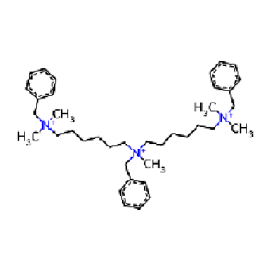 C[N+](C)(CCCCCC[N+](C)(CCCCCC[N+](C)(C)Cc1ccccc1)Cc1ccccc1)Cc1ccccc1